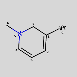 CC(C)C1=CC=CN(C)C1